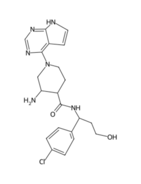 NC1CN(c2ncnc3[nH]ccc23)CCC1C(=O)NC(CCO)c1ccc(Cl)cc1